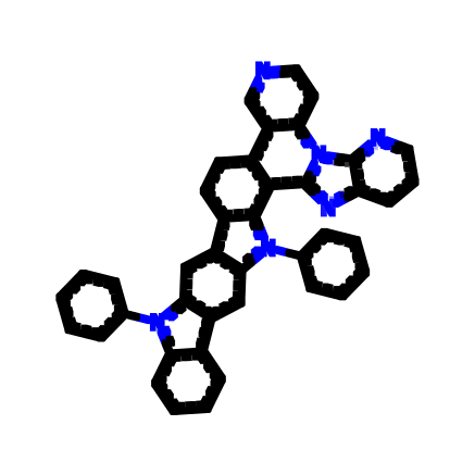 c1ccc(-n2c3ccccc3c3cc4c(cc32)c2ccc3c5cnccc5n5c6ncccc6nc5c3c2n4-c2ccccc2)cc1